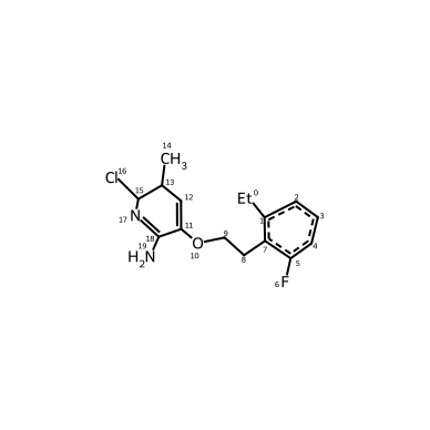 CCc1cccc(F)c1CCOC1=CC(C)C(Cl)N=C1N